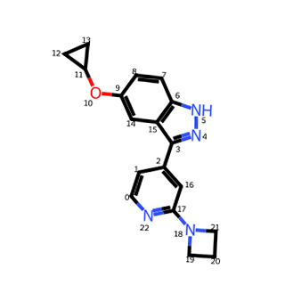 c1cc(-c2n[nH]c3ccc(OC4CC4)cc23)cc(N2CCC2)n1